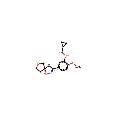 COc1ccc(C2=NOC3(CCOC3)C2)cc1OCC1CC1